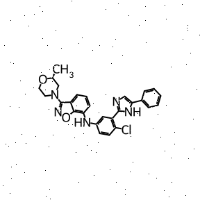 C[C@H]1CN(c2noc3c(Nc4ccc(Cl)c(-c5ncc(-c6ccccc6)[nH]5)c4)cccc23)CCO1